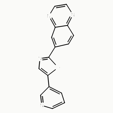 c1cncc(-c2cnc(-c3ccc4nccnc4c3)o2)c1